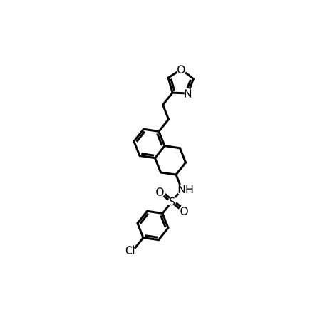 O=S(=O)(NC1CCc2c(CCc3cocn3)cccc2C1)c1ccc(Cl)cc1